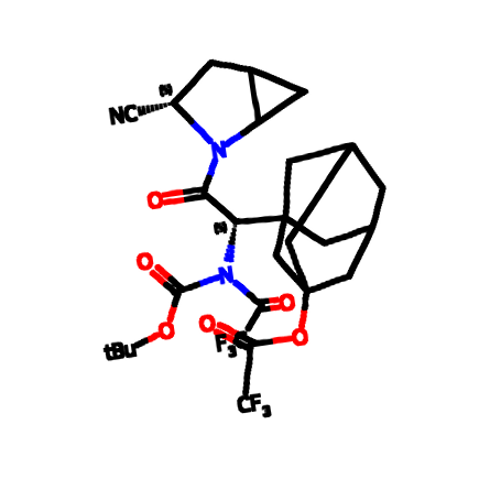 CC(C)(C)OC(=O)N(C(=O)C(F)(F)F)[C@H](C(=O)N1C2CC2C[C@H]1C#N)C12CC3CC(CC(OC(=O)C(F)(F)F)(C3)C1)C2